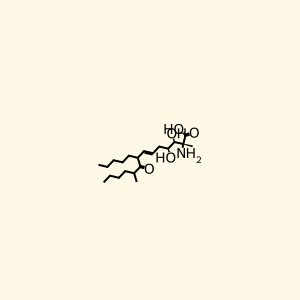 CCCCCC(/C=C/C[C@H](O)[C@@H](O)[C@@](C)(N)C(=O)O)C(=O)C(C)CCCC